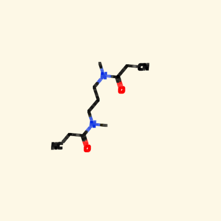 CN(CCCN(C)C(=O)CC#N)C(=O)CC#N